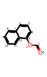 O=[C]Oc1cccc2ccccc12